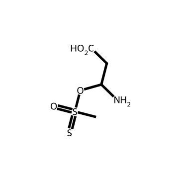 CS(=O)(=S)OC(N)CC(=O)O